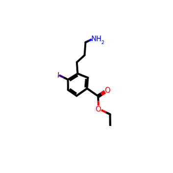 CCOC(=O)c1ccc(I)c(CCCN)c1